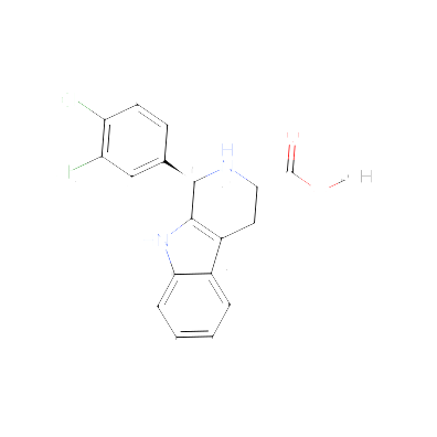 COC(=O)[C@@H]1Cc2c([nH]c3ccccc23)[C@@H](c2ccc(Cl)c(Cl)c2)N1